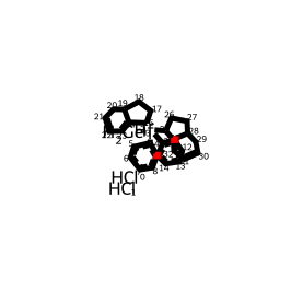 Cl.Cl.[GeH2]=[Hf]([c]1ccccc1)([c]1ccccc1)([CH]1CCC2CC=CC=C21)[CH]1CCC2CC=CC=C21